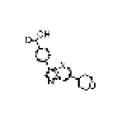 O=C(O)c1ccc(-c2cnc3cc(C4CCOCC4)cnn23)cc1